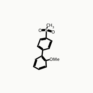 COc1ccc[c]c1-c1ccc(S(C)(=O)=O)cc1